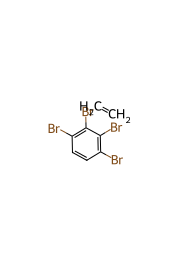 Brc1ccc(Br)c(Br)c1Br.C=C